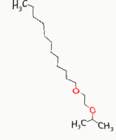 CCCCCCCCCCCCOCCOC(C)C